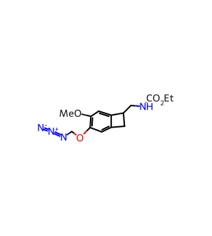 CCOC(=O)NCC1Cc2cc(OCN=[N+]=[N-])c(OC)cc21